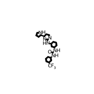 O=C(Nc1cccc(Nc2nccc(-c3ccc[nH]3)n2)c1)Nc1cccc(C(F)(F)F)c1